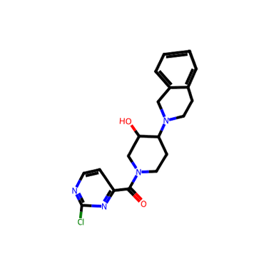 O=C(c1ccnc(Cl)n1)N1CCC(N2CCc3ccccc3C2)C(O)C1